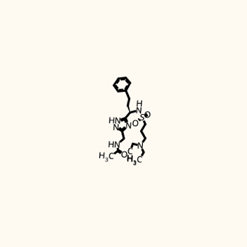 CCN(CC)CCCS(=O)(=O)N[C@H](CCc1ccccc1)c1nc(CNC(C)=O)n[nH]1